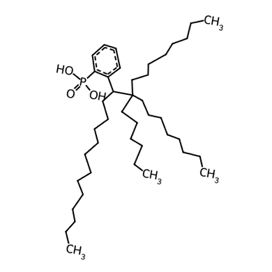 CCCCCCCCCCCCC(c1ccccc1P(=O)(O)O)C(CCCCCC)(CCCCCCCC)CCCCCCCC